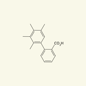 Cc1cc(-c2ccccc2C(=O)O)c(C)c(C)c1C